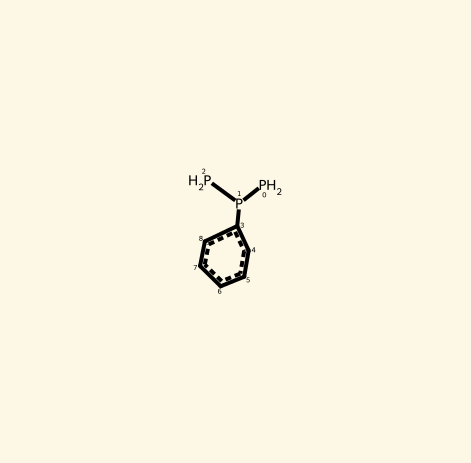 PP(P)c1ccccc1